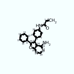 C=CC(=O)Nc1ccc(-c2c(-c3ccccc3)oc3ncnc(N)c23)cc1